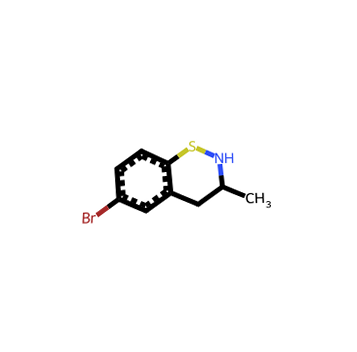 CC1Cc2cc(Br)ccc2SN1